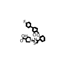 O=C(O)C1CCN(c2nc(-c3ccccc3OCc3ccc(-c4ccc(F)cc4)cc3Cl)cs2)CC1